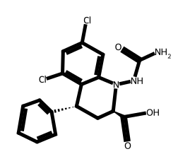 NC(=O)NN1c2cc(Cl)cc(Cl)c2[C@@H](c2ccccc2)C[C@@H]1C(=O)O